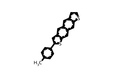 Cc1ccc(-c2cc3cc4cc5ccsc5cc4cc3s2)cc1